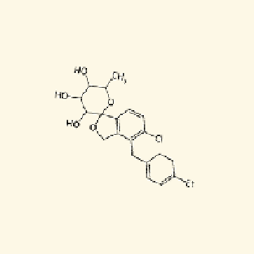 CCC1=CC=C(Cc2c(Cl)ccc3c2COC32OC(C)C(O)C(O)C2O)CC1